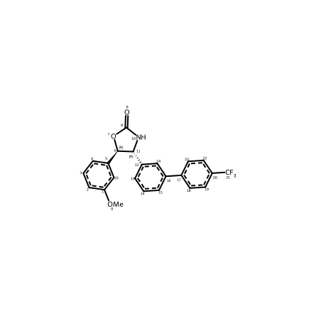 COc1cccc([C@H]2OC(=O)N[C@@H]2c2cccc(-c3ccc(C(F)(F)F)cc3)c2)c1